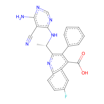 C[C@H](Nc1ncnc(N)c1C#N)c1nc2ccc(F)cc2c(C(=O)O)c1-c1ccccc1